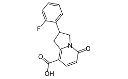 O=C(O)c1ccc(=O)n2c1CC(c1ccccc1F)C2